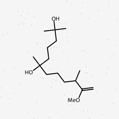 C=C(OC)C(C)CCCC(C)(O)CCCC(C)(C)O